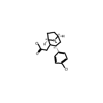 CN1[C@H]2CC[C@@H]1C(CC(=O)Cl)[C@@H](c1ccc(Cl)cc1)C2